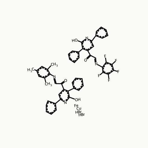 Br.Br.Cc1cc(C)c(N=CC(=O)c2cc(-c3ccccc3)nc(O)c2-c2ccccc2)c(C)c1.O=C(C=Nc1c(F)c(F)c(F)c(F)c1F)c1cc(-c2ccccc2)nc(O)c1-c1ccccc1.[Cu].[Fe]